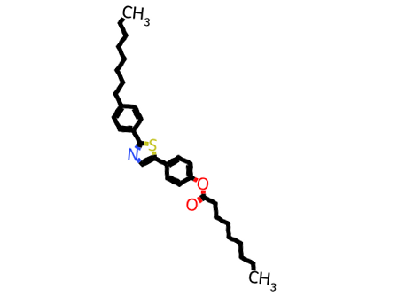 CCCCCCCCC(=O)Oc1ccc(-c2cnc(-c3ccc(CCCCCCCC)cc3)s2)cc1